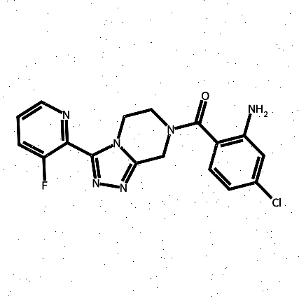 Nc1cc(Cl)ccc1C(=O)N1CCn2c(nnc2-c2ncccc2F)C1